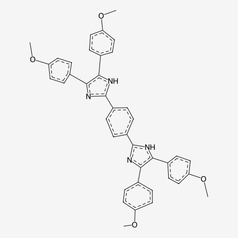 COc1ccc(-c2nc(-c3ccc(-c4nc(-c5ccc(OC)cc5)c(-c5ccc(OC)cc5)[nH]4)cc3)[nH]c2-c2ccc(OC)cc2)cc1